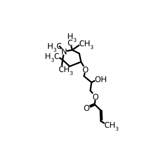 CC=CC(=O)OCC(O)COC1CC(C)(C)N(C)C(C)(C)C1